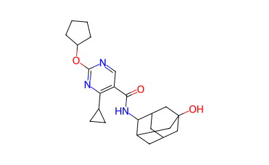 O=C(NC1C2CC3CC1CC(O)(C3)C2)c1cnc(OC2CCCC2)nc1C1CC1